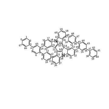 c1ccc(-c2ccc(-c3ccccc3)c(-c3ccc4c(c3)c3c5c6ccccc6n6c7ccc(-c8cc(-c9ccccc9)ccc8-c8ccccc8)cc7c(c7c8ccccc8n4c73)c56)c2)cc1